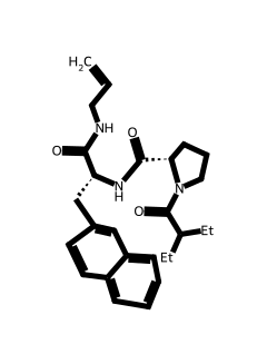 C=CCNC(=O)[C@@H](Cc1ccc2ccccc2c1)NC(=O)[C@@H]1CCCN1C(=O)C(CC)CC